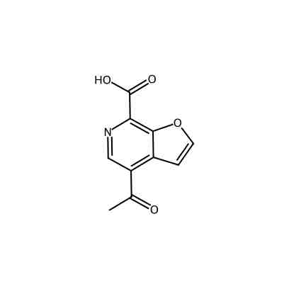 CC(=O)c1cnc(C(=O)O)c2occc12